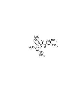 Cc1cc(NC(=O)C(=O)N2C[C@H](C)CC[C@H]2C2SC(C(N)=O)=CC2C)cnc1N